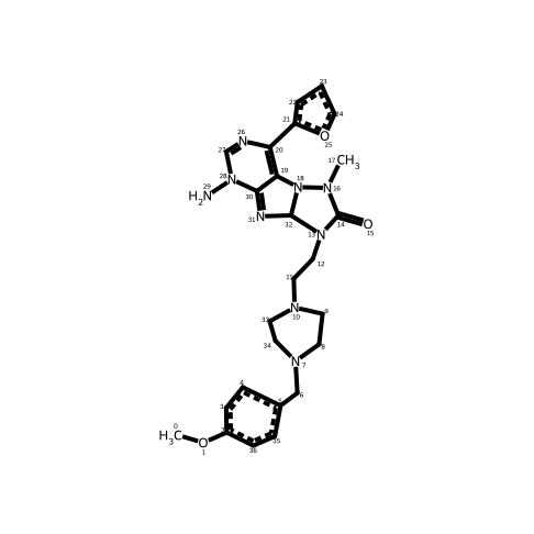 COc1ccc(CN2CCN(CCN3C(=O)N(C)N4C5=C(c6ccco6)N=CN(N)C5=NC34)CC2)cc1